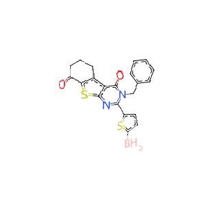 Bc1ccc(-c2nc3sc4c(c3c(=O)n2Cc2ccccc2)CCCC4=O)s1